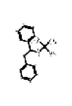 CC(C)(C)NC(Cc1ccccc1)c1ccccc1